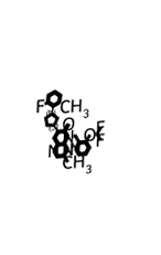 Cc1cnc2cc([C@H]3CC[C@@H](c4c(C)cccc4F)C3)c(=O)n(Cc3ncccc3OC(F)F)c2n1